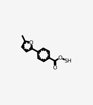 Cc1ccc(-c2ccc(C(=O)OS)cc2)o1